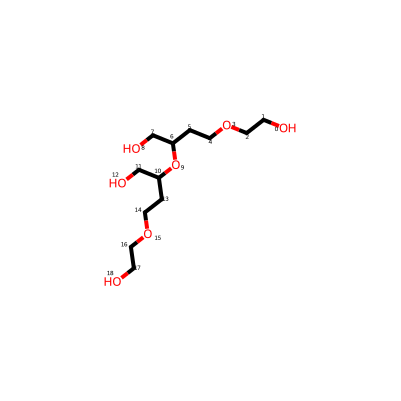 OCCOCCC(CO)OC(CO)CCOCCO